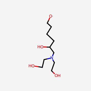 [O]CCCCC(O)CN(CCO)CCO